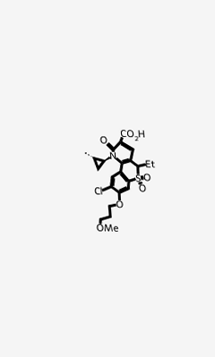 CCC1c2cc(C(=O)O)c(=O)n([C@H]3C[C@@H]3C)c2-c2cc(Cl)c(OCCCOC)cc2S1(=O)=O